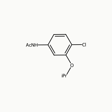 CC(=O)Nc1ccc(Cl)c(OC(C)C)c1